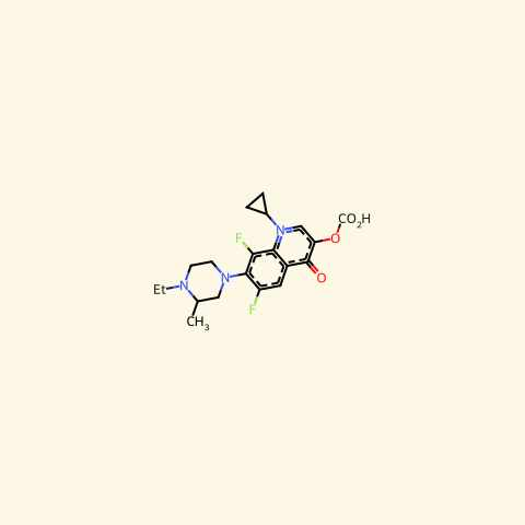 CCN1CCN(c2c(F)cc3c(=O)c(OC(=O)O)cn(C4CC4)c3c2F)CC1C